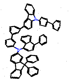 c1ccc(-c2ccc(-n3c4ccccc4c4cc(-c5cccc(-c6cccc(N(c7ccc8c(c7)C(c7ccccc7)(c7ccccc7)c7ccccc7-8)c7ccc(-c8ccccc8)c8ccccc78)c6)c5)ccc43)cc2)cc1